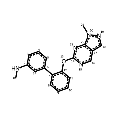 CNc1cccc(-c2ccccc2Oc2ncc3cnn(C)c3n2)c1